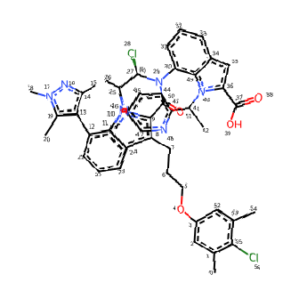 Cc1cc(OCCCc2c3n(c4c(-c5c(C)nn(C)c5C)cccc24)C(C)[C@@H](Cl)N(c2cccc4cc(C(=O)O)n(C(C)c5ccccn5)c24)C3=O)cc(C)c1Cl